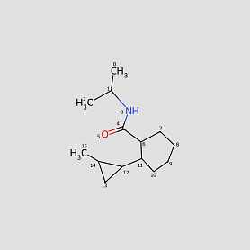 CC(C)NC(=O)C1CCCCC1C1CC1C